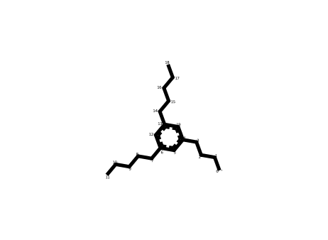 [CH2]CCCc1cc(CCCCC)cc(CCCCC)c1